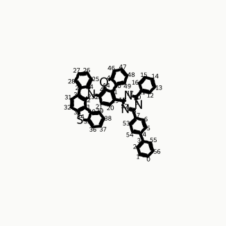 c1ccc(-c2ccc(-c3nc(-c4ccccc4)nc(-c4ccc(-n5c6ccccc6c6ccc7sc8ccccc8c7c65)c5oc6ccccc6c45)n3)cc2)cc1